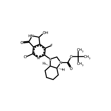 CC(C)(C)OC(=O)N1CN(c2nc(Cl)c3c(c2F)C(O)NC3=O)[C@@H]2CCCC[C@@H]21